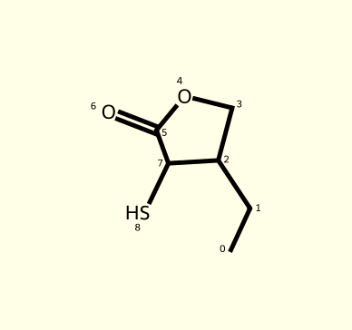 CCC1COC(=O)C1S